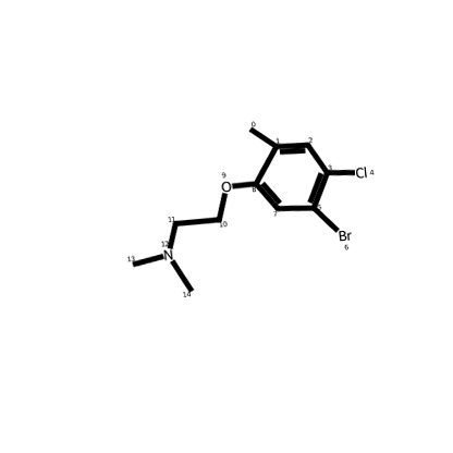 Cc1cc(Cl)c(Br)cc1OCCN(C)C